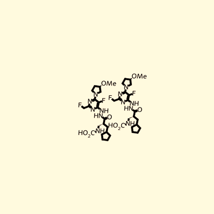 CO[C@H]1CCN(c2nc(CF)nc(NNC(=O)[C@@H](CNC(=O)O)CC3CCCC3)c2F)C1.CO[C@H]1CCN(c2nc(CF)nc(NNC(=O)[C@@H](CNC(=O)O)CC3CCCC3)c2F)C1